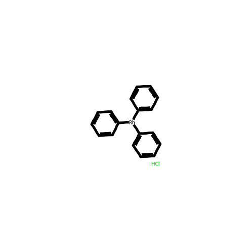 Cl.c1cc[c]([Rh]([c]2ccccc2)[c]2ccccc2)cc1